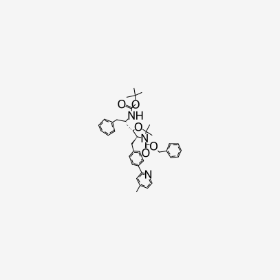 Cc1ccnc(-c2ccc(C[C@H]3[C@H](C[C@H](Cc4ccccc4)NC(=O)OC(C)(C)C)OC(C)(C)N3C(=O)OCc3ccccc3)cc2)c1